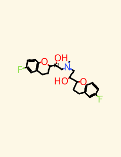 CN(CC(O)C1CCc2cc(F)ccc2O1)C[C@H](O)C1CCc2cc(F)ccc2O1